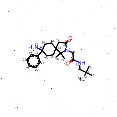 CC(C)(C#N)CNC(=O)CN1C(=O)CC2(CCC(N)(c3ccccc3)CC2)C1(C)C